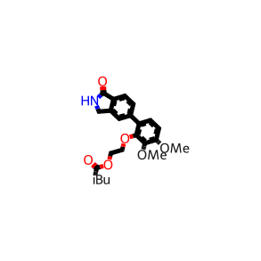 CCC(C)C(=O)OCCOc1c(-c2ccc3c(c2)CNC3=O)ccc(OC)c1OC